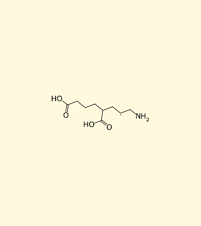 NC[CH]CC(CCCC(=O)O)C(=O)O